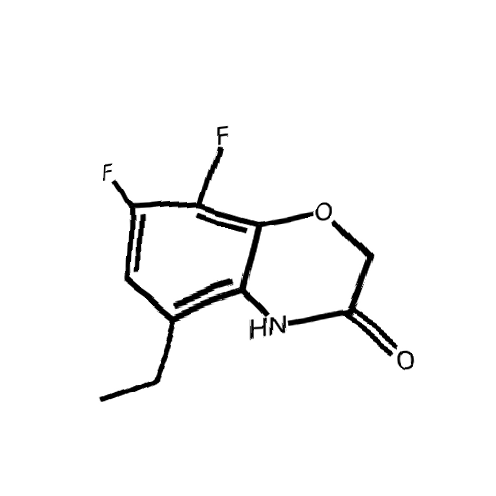 CCc1cc(F)c(F)c2c1NC(=O)CO2